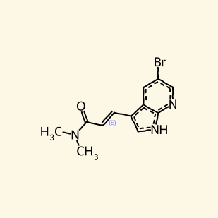 CN(C)C(=O)/C=C/c1c[nH]c2ncc(Br)cc12